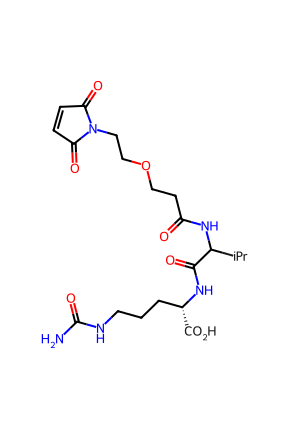 CC(C)C(NC(=O)CCOCCN1C(=O)C=CC1=O)C(=O)N[C@@H](CCCNC(N)=O)C(=O)O